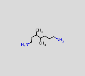 CC(CCN)C(C)CCCN